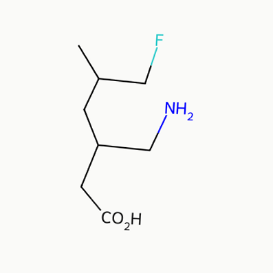 CC(CF)CC(CN)CC(=O)O